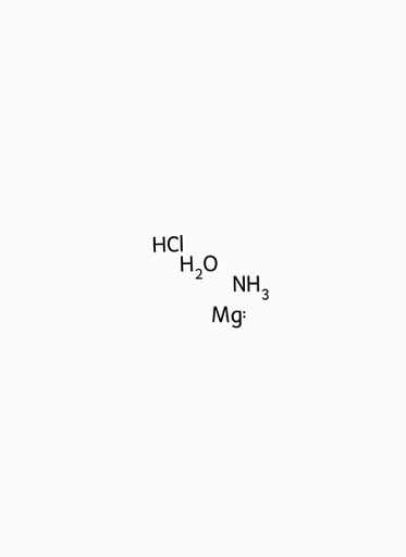 Cl.N.O.[Mg]